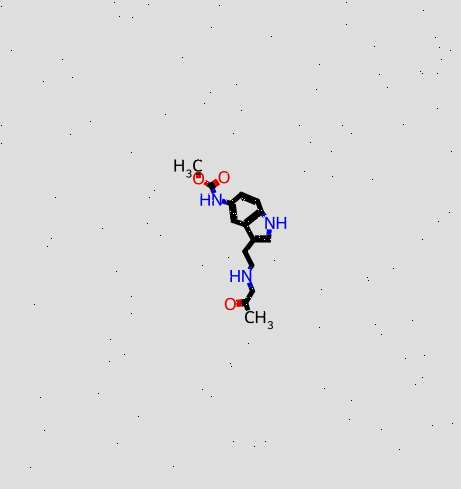 COC(=O)Nc1ccc2[nH]cc(CCNCC(C)=O)c2c1